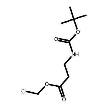 CC(C)(C)OC(=O)NCCC(=O)OCCl